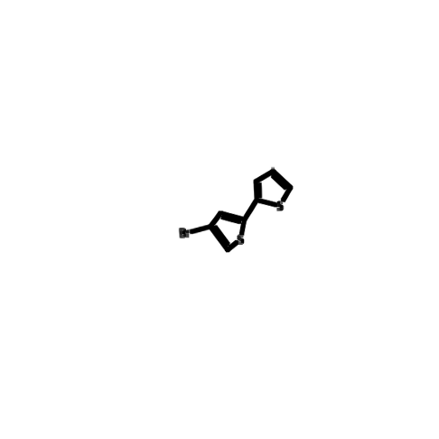 Brc1csc(-c2c[c]cs2)c1